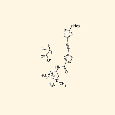 CCCCCCc1ccc(C#Cc2ccc(C(=O)NC(CC(=O)O)C[N+](C)(C)C)o2)s1.O=C([O-])C(F)(F)F